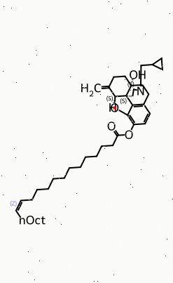 C=C1CC[C@@]2(O)C3Cc4ccc(OC(=O)CCCCCCCCCCC/C=C\CCCCCCCC)c5c4[C@@]2(CCN3CC2CC2)[C@H]1O5